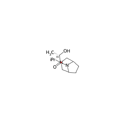 CC(C)N1CC2CCC(C1)N2C(=O)[C@H](C)O